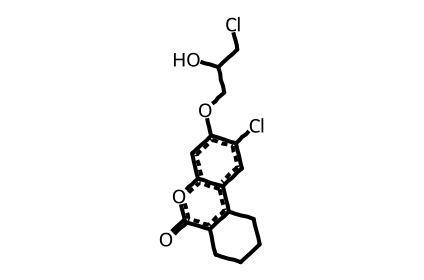 O=c1oc2cc(OCC(O)CCl)c(Cl)cc2c2c1CCCC2